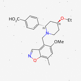 CCO[C@H]1CCN(Cc2c(OC)cc(C)c3oncc23)[C@H](c2ccc(C(=O)O)cc2)C1